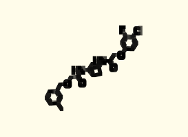 Cc1cccc(COCC(=O)NC2CC3(NC(=O)COc4ccc(Cl)c(F)c4)CC2C3)c1